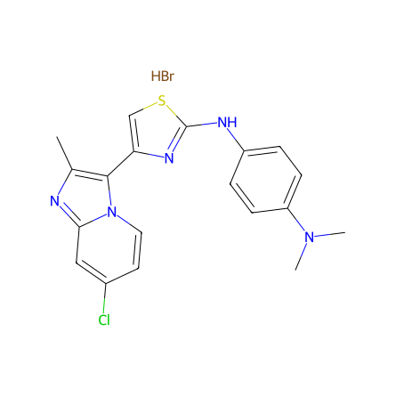 Br.Cc1nc2cc(Cl)ccn2c1-c1csc(Nc2ccc(N(C)C)cc2)n1